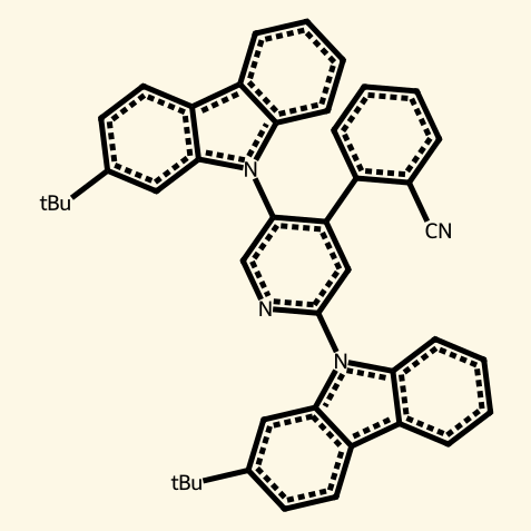 CC(C)(C)c1ccc2c3ccccc3n(-c3cc(-c4ccccc4C#N)c(-n4c5ccccc5c5ccc(C(C)(C)C)cc54)cn3)c2c1